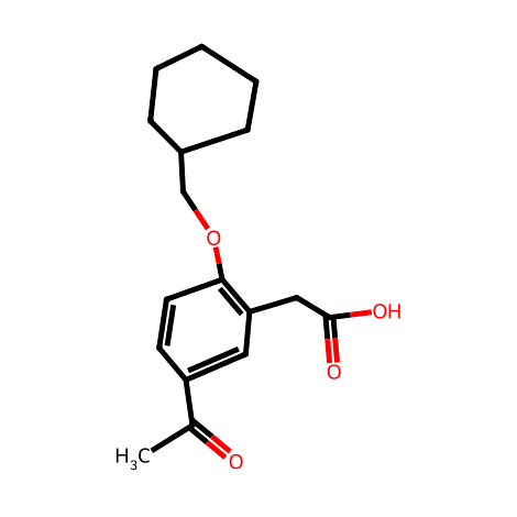 CC(=O)c1ccc(OCC2CCCCC2)c(CC(=O)O)c1